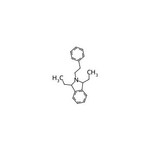 CCC1c2ccccc2C(CC)N1CCc1ccccc1